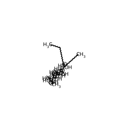 CCCCCCCC/C=C\CCCCCCCCCCCCCC(=O)N[C@@H](CO[C@@H]1OC(CO)[C@@H](O[C@@H]2OC(CO)[C@H](O)[C@H](O[C@H]3OC(CO)[C@H](O)[C@H](O[C@@H]4OC(CO)[C@H](O)[C@H](O)C4NC(C)=O)C3O)C2O)[C@H](O)C1O)[C@H](O)/C=C/CCCCCCCCCCCCC